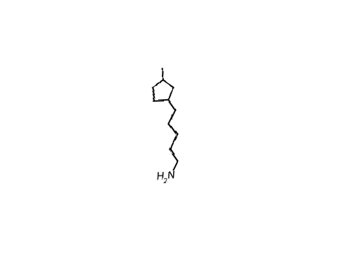 CC1CCC(CCCCCN)C1